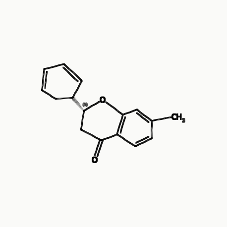 Cc1ccc2c(c1)O[C@@H](C1C=CC=CC1)CC2=O